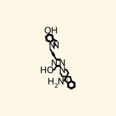 N[C@@H]1c2ccccc2CC12CCN(c1ncc(C#CCn3ncc4cc(O)ccc43)nc1CO)CC2